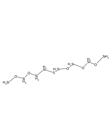 [SiH3]O[SiH2]O[SiH2]O[SiH2]S[SiH2][SiH2]O[SiH2]O[SiH3]